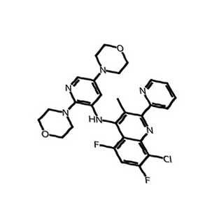 Cc1c(-c2ccccn2)nc2c(Cl)c(F)cc(F)c2c1Nc1cc(N2CCOCC2)cnc1N1CCOCC1